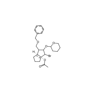 CC(=O)O[C@]12CCC[C@H]1C(COCc1ccccc1)C(OC1CCCCO1)C2Br